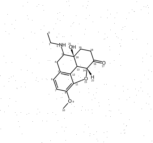 CCNC1Cc2ccc(OC)c3c2C2[C@@H](O3)C(=O)CC[C@@]12O